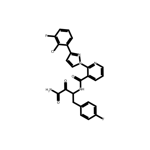 NC(=O)C(=O)C(Cc1ccc(F)cc1)NC(=O)c1cccnc1-n1ccc(-c2cccc(F)c2Cl)n1